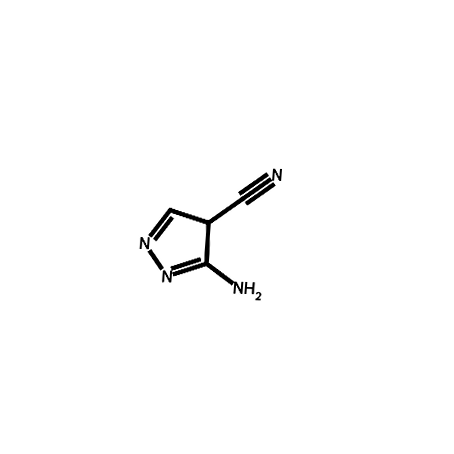 N#CC1C=NN=C1N